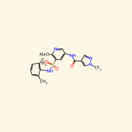 COc1ncc(NC(=O)c2cnn(C(F)(F)F)c2)cc1S(=O)(=O)Nc1c(C)cccc1C